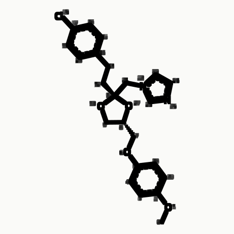 COc1ccc(OC[C@@H]2CO[C@](CCc3ccc(Cl)cc3)(Cn3ccnc3)O2)cc1